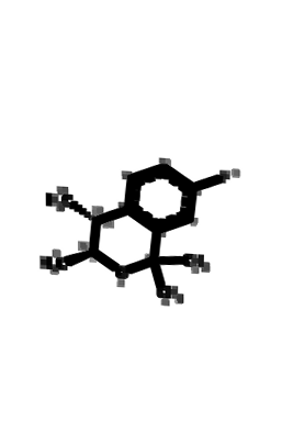 C[C@@H]1OC(C)(C)c2cc(F)ccc2[C@H]1C